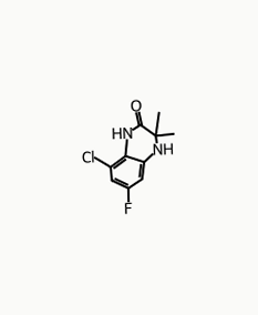 CC1(C)Nc2cc(F)cc(Cl)c2NC1=O